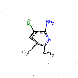 Cc1cc(Br)c(N)nc1C